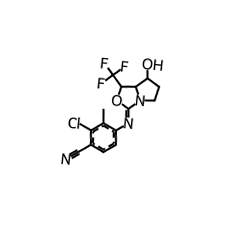 Cc1c(/N=C2\OC(C(F)(F)F)C3C(O)CCN23)ccc(C#N)c1Cl